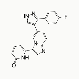 O=c1cccc(-c2cnc3ccc(-c4c[nH]nc4-c4ccc(F)cc4)cn23)[nH]1